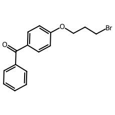 O=C(c1ccccc1)c1ccc(OCCCBr)cc1